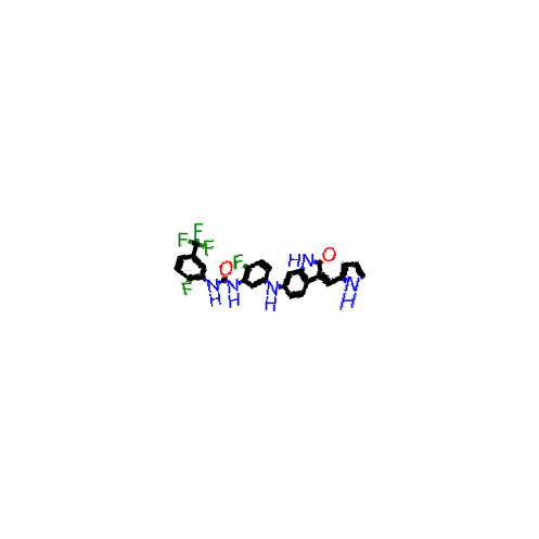 O=C(Nc1cc(Nc2ccc3c(c2)NC(=O)C3=Cc2ccc[nH]2)ccc1F)Nc1cc(C(F)(F)F)ccc1F